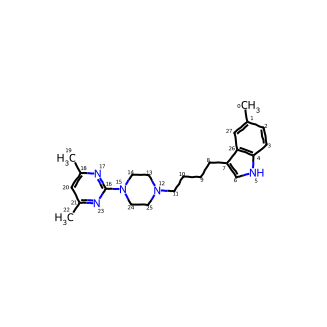 Cc1ccc2[nH]cc(CCCCN3CCN(c4nc(C)cc(C)n4)CC3)c2c1